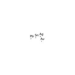 [Ag].[Au].[Pb].[Sn]